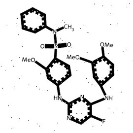 COc1ccc(Nc2nc(Nc3ccc(S(=O)(=O)N(C)c4ccccc4)c(OC)c3)ncc2F)cc1OC